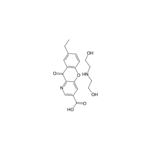 CCc1ccc2oc3cc(C(=O)O)cnc3c(=O)c2c1.OCCNCCO